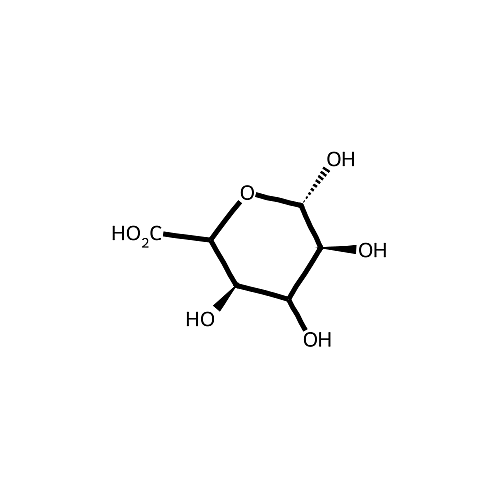 O=C(O)C1O[C@H](O)[C@@H](O)C(O)[C@H]1O